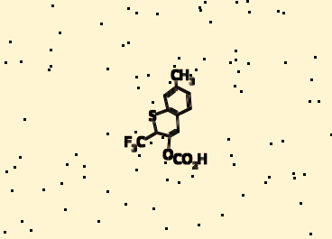 Cc1ccc2c(c1)SC(C(F)(F)F)C(OC(=O)O)=C2